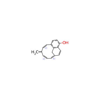 C=C1/C=C\C=C2\C=Cc3c(O)ccc(c3C2)/C=C\1